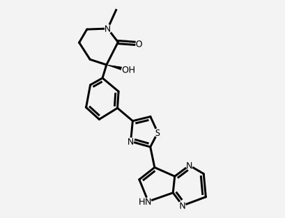 CN1CCC[C@@](O)(c2cccc(-c3csc(-c4c[nH]c5nccnc45)n3)c2)C1=O